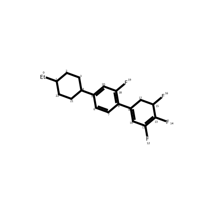 CCC1CCC(c2ccc(C3=CC(F)=C(F)C(F)C3)c(F)c2)CC1